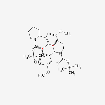 COc1ccc(C(=O)c2ccc(OC)cc2[C@@H]2CCCCN2C(=O)OC(C)(C)C)c(C2CCCCN2C(=O)OC(C)(C)C)c1